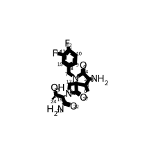 CC1C(N)C(=O)N(Cc2ccc(F)c(F)c2)C12CN([C@H](C(N)=O)[C@@H](C)O)C2=O